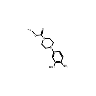 CCCCc1cc(N2CCN(C(=O)OC(C)(C)C)CC2)ccc1N